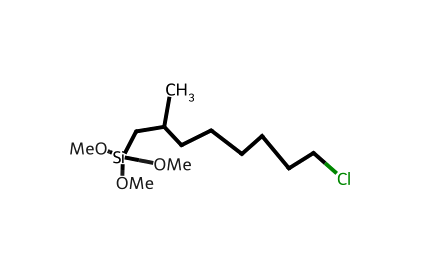 CO[Si](CC(C)CCCCCCCl)(OC)OC